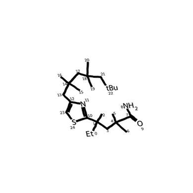 CCC(C)(CC(C)(C)C(N)=O)c1nc(CC(C)(C)CC(C)(C)CC(C)(C)C)cs1